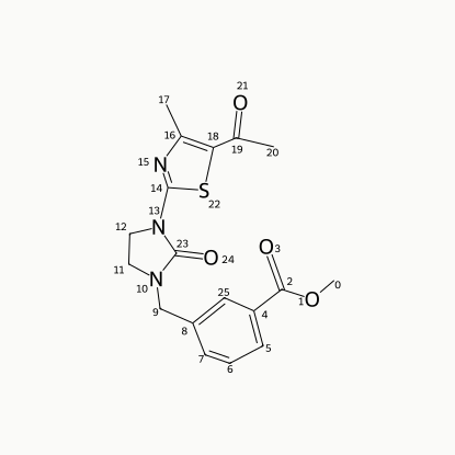 COC(=O)c1cccc(CN2CCN(c3nc(C)c(C(C)=O)s3)C2=O)c1